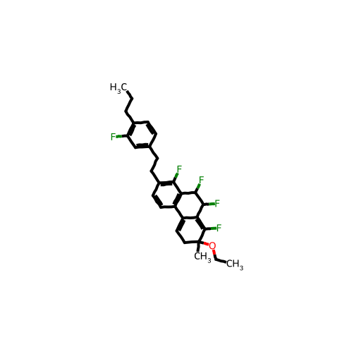 CCCc1ccc(CCc2ccc3c(c2F)C(F)C(F)C2=C(F)C(C)(OCC)CC=C23)cc1F